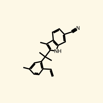 C=Cc1ccc(C)cc1C(C)(C)c1[nH]c2cc(C#N)ccc2c1C